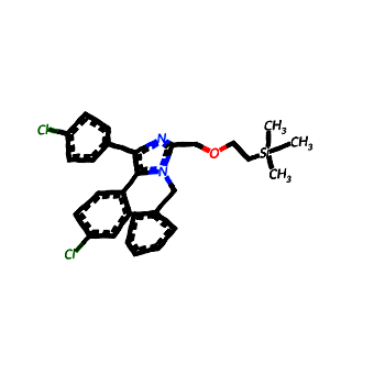 C[Si](C)(C)CCOCc1nc(-c2ccc(Cl)cc2)c(-c2ccc(Cl)cc2)n1Cc1ccccc1